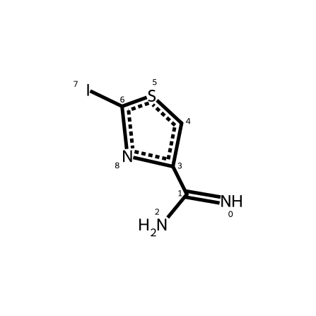 N=C(N)c1csc(I)n1